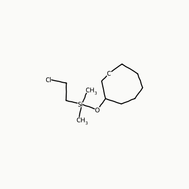 C[Si](C)(CCCl)OC1CCCCCCC1